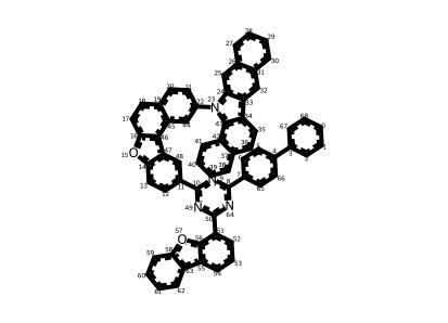 c1ccc(-c2ccc(-c3nc(-c4ccc5oc6ccc7ccc(-n8c9cc%10ccccc%10cc9c9ccc%10ccccc%10c98)cc7c6c5c4)nc(-c4cccc5c4oc4ccccc45)n3)cc2)cc1